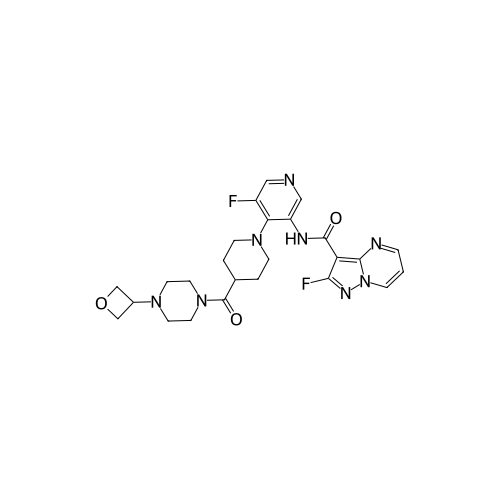 O=C(Nc1cncc(F)c1N1CCC(C(=O)N2CCN(C3COC3)CC2)CC1)c1c(F)nn2cccnc12